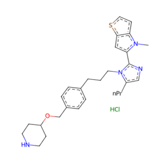 CCCc1cnc(-c2cc3sccc3n2C)n1CCCc1ccc(COC2CCNCC2)cc1.Cl